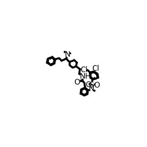 CN(C)C(CCc1ccccc1)C1CCC(CCNC(=O)Cc2ccccc2N(C)S(=O)(=O)c2ccc(Cl)c(Cl)c2)CC1